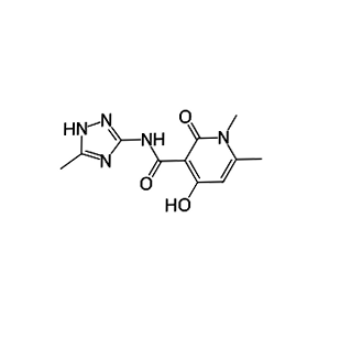 Cc1nc(NC(=O)c2c(O)cc(C)n(C)c2=O)n[nH]1